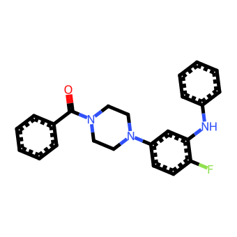 O=C(c1ccccc1)N1CCN(c2ccc(F)c(Nc3ccccc3)c2)CC1